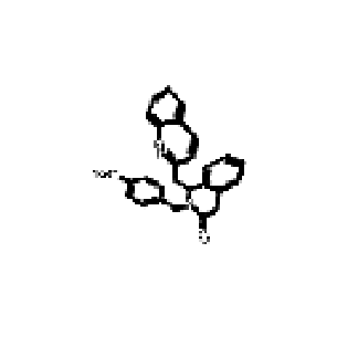 N#Cc1ccc(CN2C(=O)Cc3ccccc3C2Cc2ccc3ccccc3n2)cc1